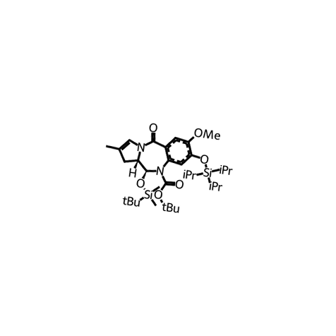 COc1cc2c(cc1O[Si](C(C)C)(C(C)C)C(C)C)N(C(=O)OC(C)(C)C)[C@@H](O[Si](C)(C)C(C)(C)C)[C@@H]1CC(C)=CN1C2=O